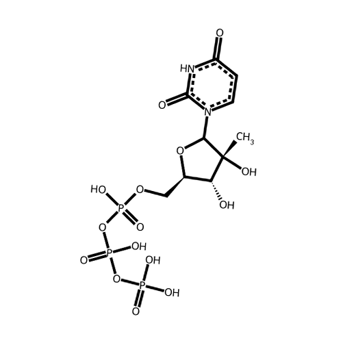 C[C@]1(O)C(n2ccc(=O)[nH]c2=O)O[C@H](COP(=O)(O)OP(=O)(O)OP(=O)(O)O)[C@H]1O